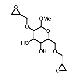 COC1OC(COCC2CO2)C(O)C(O)C1OCC1CO1